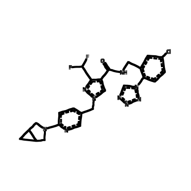 O=C(NCc1cc(Cl)ccc1-n1cnnn1)c1cn(Cc2ccc(N3CC4CC4C3)nc2)nc1C(F)F